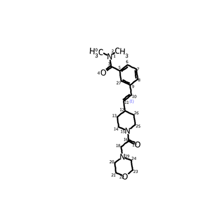 CN(C)C(=O)c1cccc(/C=C/C2CCN(C(=O)CN3CCOCC3)CC2)c1